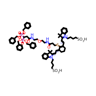 CC1(C)C(/C=C/C2=C(SCCC(=O)NCCOCCNC(=O)CC(P(=O)(OCc3ccccc3)OCc3ccccc3)P(=O)(OCc3ccccc3)OCc3ccccc3)C(=C/C=C3/N(CCCCS(=O)(=O)O)c4ccccc4C3(C)C)/CCC2)=[N+](CCCCS(=O)(=O)O)c2ccccc21